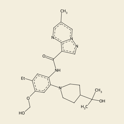 CCc1cc(NC(=O)c2cnn3cc(C)cnc23)c(N2CCC(C(C)(C)O)CC2)cc1OCO